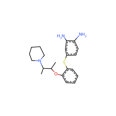 CC(Oc1ccccc1Sc1ccc(N)c(N)c1)C(C)N1CCCCC1